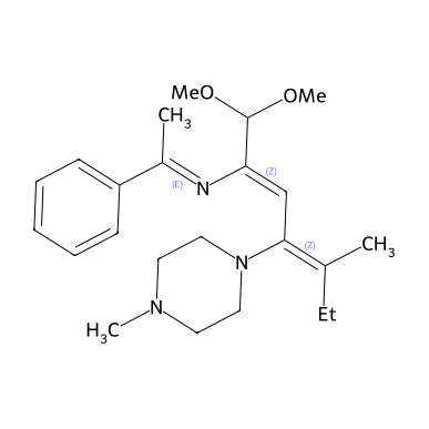 CC/C(C)=C(/C=C(\N=C(/C)c1ccccc1)C(OC)OC)N1CCN(C)CC1